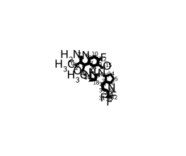 C[C@H]1OCc2c1c(N)nc1cc(F)c(C(=O)N(c3ccn(C)n3)C3CCc4nc(C(F)(F)F)ccc43)cc21